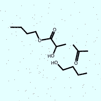 CC(C)=O.CCCCO.CCCCOC(=O)C(C)O